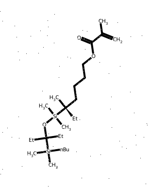 C=C(C)C(=O)OCCCC[C@](C)(CC)[Si](C)(C)OC(CC)(CC)[Si](C)(C)CCCC